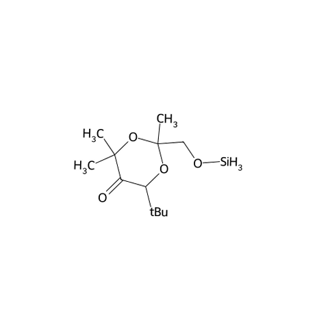 CC1(CO[SiH3])OC(C(C)(C)C)C(=O)C(C)(C)O1